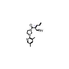 C=C/C=C(\C=N)C(=O)N1CCN(c2ncc(C)cc2C)C1